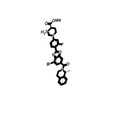 COC(=O)[C@H]1CCN(c2ccc(-c3nc4c(Br)cc(C(=O)N5CCc6ccccc6[C@H]5C)cc4o3)c(F)c2)C[SiH2]1